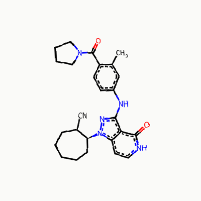 Cc1cc(Nc2nn([C@H]3CCCCCC3C#N)c3cc[nH]c(=O)c23)ccc1C(=O)N1CCCC1